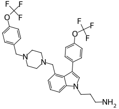 NCCCn1cc(-c2ccc(OC(F)(F)F)cc2)c2c(CN3CCN(Cc4ccc(OC(F)(F)F)cc4)CC3)cccc21